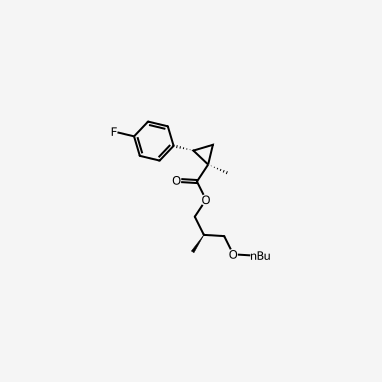 CCCCOC[C@@H](C)COC(=O)[C@]1(C)C[C@H]1c1ccc(F)cc1